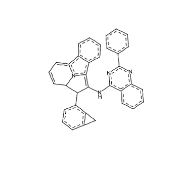 C1=CC2C(c3cccc4c3C4)C(Nc3nc(-c4ccccc4)nc4ccccc34)=c3c4ccccc4c(n32)=C1